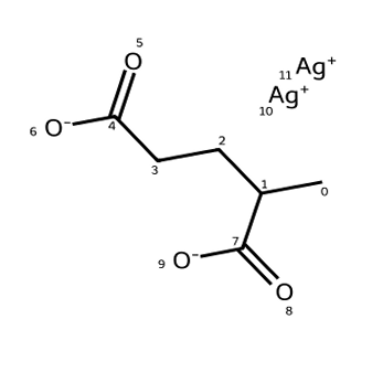 CC(CCC(=O)[O-])C(=O)[O-].[Ag+].[Ag+]